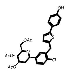 CC(=O)OC[C@H]1O[C@@H](c2ccc(Cl)c(Cc3ccc(-c4ccc(O)cc4)s3)c2)C[C@@H](OC(C)=O)[C@@H]1OC(C)=O